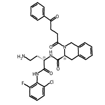 NCC[C@H](NC(=O)[C@@H]1Cc2ccccc2CN1C(=O)CCC(=O)c1ccccc1)C(=O)Nc1c(F)cccc1Cl